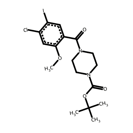 COc1cc(Cl)c(I)cc1C(=O)N1CCN(C(=O)OC(C)(C)C)CC1